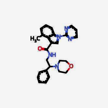 Cc1cccc2c1c(C(=O)NCC(c1ccccc1)N1CCOCC1)cn2-c1ncccn1